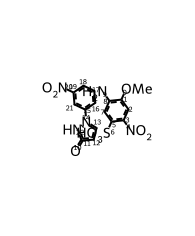 COc1cc([N+](=O)[O-])c(S(=O)(=O)O)cc1N.O=c1ccn(-c2cccc([N+](=O)[O-])c2)[nH]1